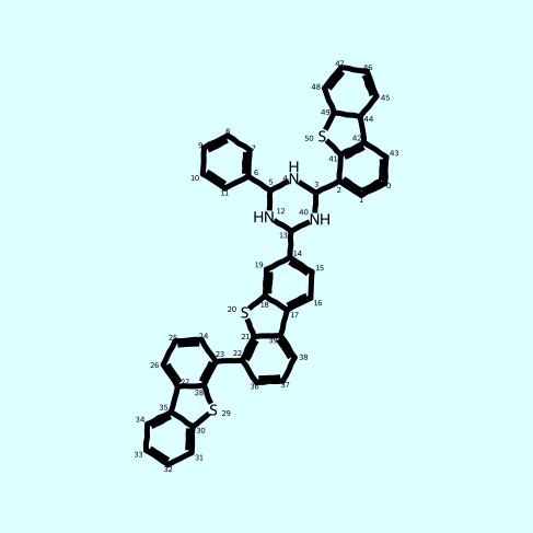 C1=C=C(C2NC(c3ccccc3)NC(c3ccc4c(c3)sc3c(-c5cccc6c5sc5ccccc56)cccc34)N2)C2=C(C=1)C1C=CC=CC1S2